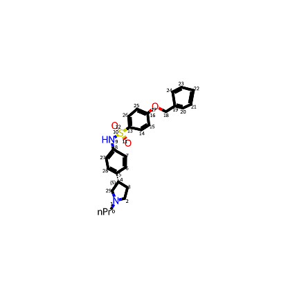 CCCN1CC[C@@H](c2ccc(NS(=O)(=O)c3ccc(OCc4ccccc4)cc3)cc2)C1